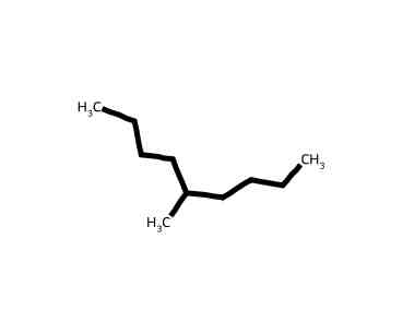 CCC[CH]C(C)CCCC